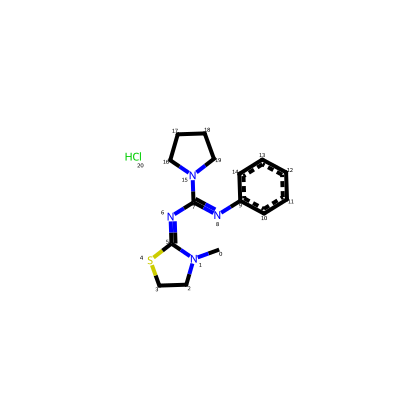 CN1CCS/C1=N/C(=N/c1ccccc1)N1CCCC1.Cl